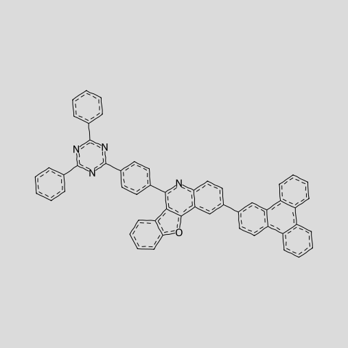 c1ccc(-c2nc(-c3ccccc3)nc(-c3ccc(-c4nc5ccc(-c6ccc7c8ccccc8c8ccccc8c7c6)cc5c5oc6ccccc6c45)cc3)n2)cc1